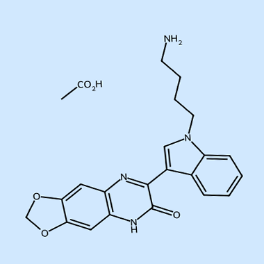 CC(=O)O.NCCCCn1cc(-c2nc3cc4c(cc3[nH]c2=O)OCO4)c2ccccc21